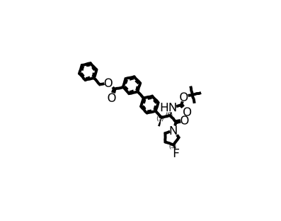 C[C@@H](c1ccc(-c2cccc(C(=O)OCc3ccccc3)c2)cc1)[C@H](NC(=O)OC(C)(C)C)C(=O)N1CC[C@H](F)C1